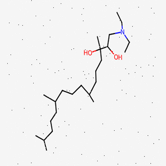 CCN(CC)CC(O)C(C)(O)CCCC(C)CCCC(C)CCCC(C)C